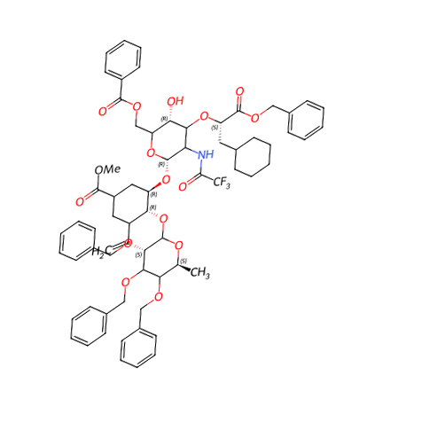 C=CC1CC(C(=O)OC)C[C@@H](O[C@@H]2OC(COC(=O)c3ccccc3)[C@H](O)C(O[C@@H](CC3CCCCC3)C(=O)OCc3ccccc3)C2NC(=O)C(F)(F)F)[C@@H]1OC1O[C@@H](C)C(OCc2ccccc2)C(OCc2ccccc2)[C@@H]1OCc1ccccc1